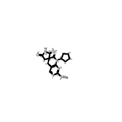 CSc1ncc2c(n1)N(C1CCCC1)C(=O)C1(CC(=O)NC1=O)C2